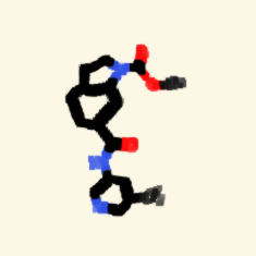 CC(C)(C)OC(=O)N1CCc2ccc(C(=O)Nc3cncc(C(F)(F)F)c3)cc21